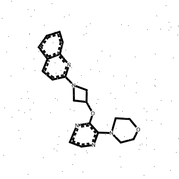 c1ccc2nc(N3CC(Oc4nccnc4N4CCOCC4)C3)ccc2c1